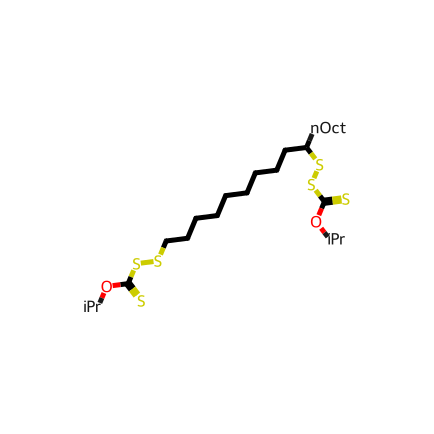 CCCCCCCCC(CCCCCCCCCSSC(=S)OC(C)C)SSC(=S)OC(C)C